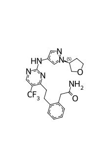 NC(=O)Cc1ccccc1CCc1nc(Nc2cnn([C@H]3CCOC3)c2)ncc1C(F)(F)F